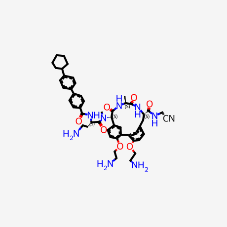 C[C@@H]1NC(=O)[C@@H](N(C)C(=O)[C@H](CCN)NC(=O)c2ccc(-c3ccc(C4CCCCC4)cc3)cc2)c2ccc(OCCN)c(c2)-c2cc(ccc2OCCN)C[C@@H](C(=O)NCC#N)NC1=O